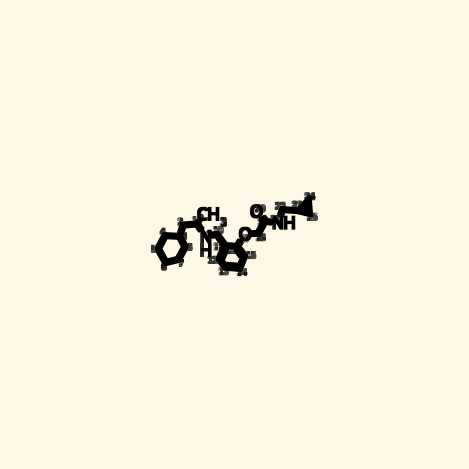 CC(CC1CCCCC1)NCc1ccccc1OCC(=O)NCC1CC1